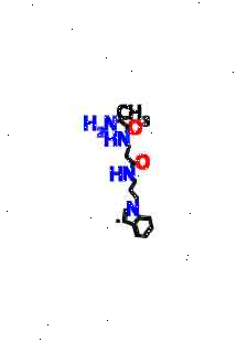 C[C@H](N)C(=O)NCCC(=O)NCCCn1c[c]c2ccccc21